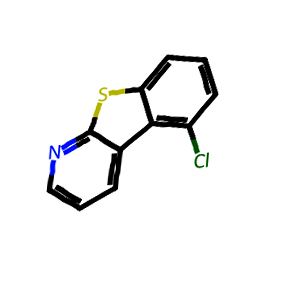 Clc1cccc2sc3ncccc3c12